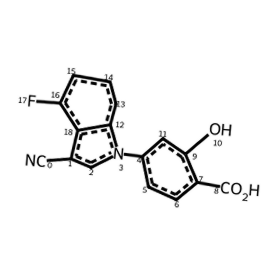 N#Cc1cn(-c2ccc(C(=O)O)c(O)c2)c2cccc(F)c12